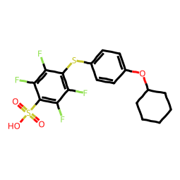 O=S(=O)(O)c1c(F)c(F)c(Sc2ccc(OC3CCCCC3)cc2)c(F)c1F